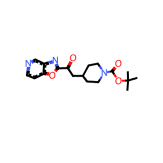 CC(C)(C)OC(=O)N1CCC(CC(=O)c2nc3cnccc3o2)CC1